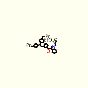 CCOC(=O)CCCn1cc(C(=O)c2cccc(CC(c3ccc(CC(C)C)cc3)c3ccc(CC(C)C)cc3)c2)c2ccccc21